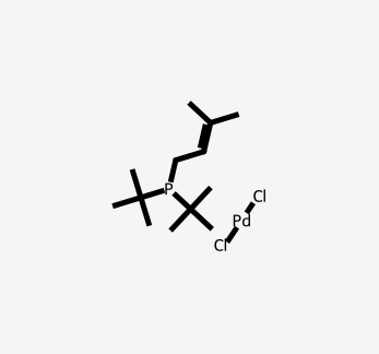 CC(C)=CCP(C(C)(C)C)C(C)(C)C.[Cl][Pd][Cl]